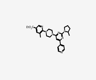 CCOC(=O)c1cnc(N2CCN(c3cc(-c4ccncc4)nc(N4CCCC4C)n3)CC2)c(C)c1